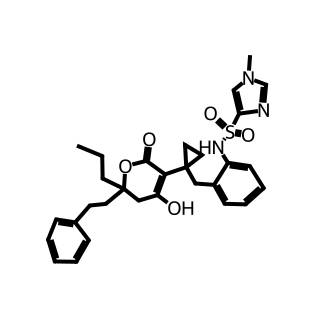 CCCC1(CCc2ccccc2)CC(O)=C(C2(Cc3ccccc3NS(=O)(=O)c3cn(C)cn3)CC2)C(=O)O1